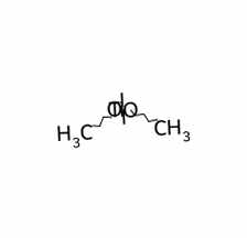 CCCCC[O][Ti]([I])([I])[O]CCCCC